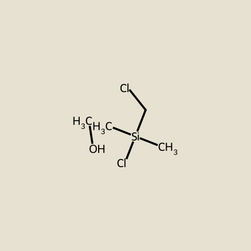 CO.C[Si](C)(Cl)CCl